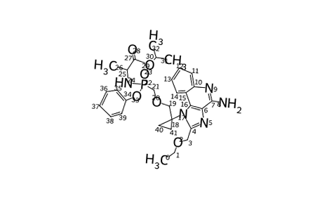 CCOCc1nc2c(N)nc3ccccc3c2n1C1(COCP(=O)(NC(C)C(=O)OC(C)C)Oc2ccccc2)CC1